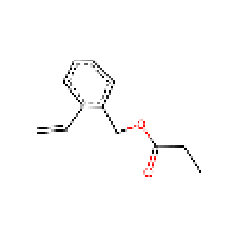 C=Cc1ccccc1COC(=O)CC